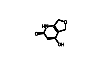 O=c1cc(O)c2c([nH]1)COC2